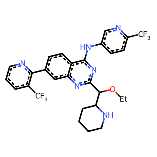 CCOC(c1nc(Nc2ccc(C(F)(F)F)nc2)c2ccc(-c3ncccc3C(F)(F)F)cc2n1)C1CCCCN1